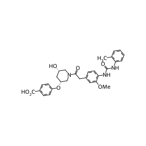 COc1cc(CC(=O)N2C[C@@H](O)C[C@@H](Oc3ccc(C(=O)O)cc3)C2)ccc1NC(=O)Nc1ccccc1C